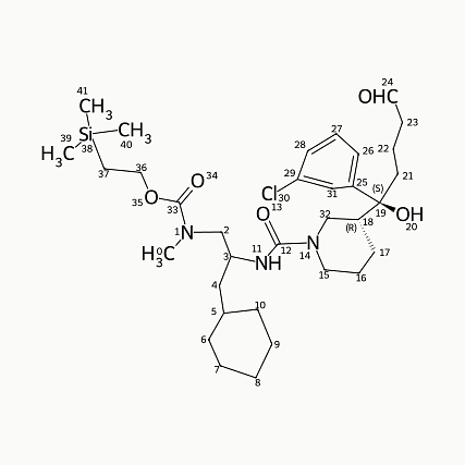 CN(CC(CC1CCCCC1)NC(=O)N1CCC[C@@H]([C@@](O)(CCCC=O)c2cccc(Cl)c2)C1)C(=O)OCC[Si](C)(C)C